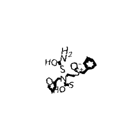 NC(O)=S.[O-][S+](CCN(Cc1ccco1)C(O)=S)Cc1ccccc1